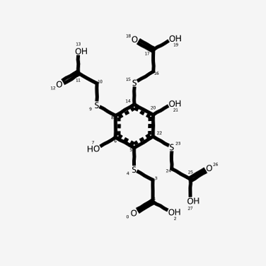 O=C(O)CSc1c(O)c(SCC(=O)O)c(SCC(=O)O)c(O)c1SCC(=O)O